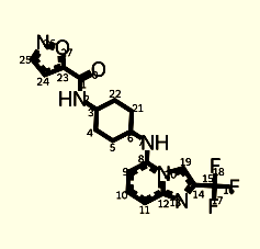 O=C(NC1CCC(Nc2cccc3nc(C(F)(F)F)cn23)CC1)c1ccno1